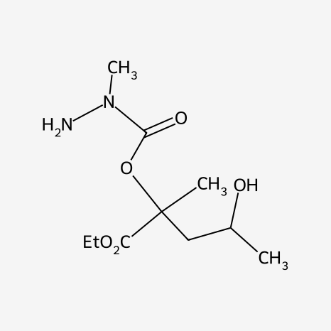 CCOC(=O)C(C)(CC(C)O)OC(=O)N(C)N